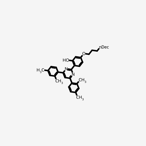 CCCCCCCCCCCCCOc1ccc(-c2nc(-c3ccc(C)cc3C)cc(-c3ccc(C)cc3C)n2)c(O)c1